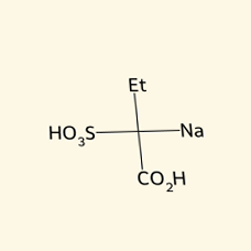 CC[C]([Na])(C(=O)O)S(=O)(=O)O